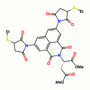 CCSC1CC(=O)N(c2cc3c4c(cc(N5C(=O)CC(SCC)C5=O)cc4c2)C(=O)N([C@@H](CC(=O)OC)C(=O)OC)C3=O)C1=O